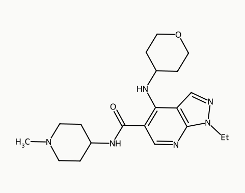 CCn1ncc2c(NC3CCOCC3)c(C(=O)NC3CCN(C)CC3)cnc21